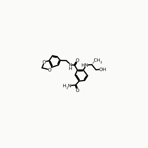 C[C@H](CO)Nc1ccc(C(N)=O)cc1C(=O)NCc1ccc2c(c1)OCO2